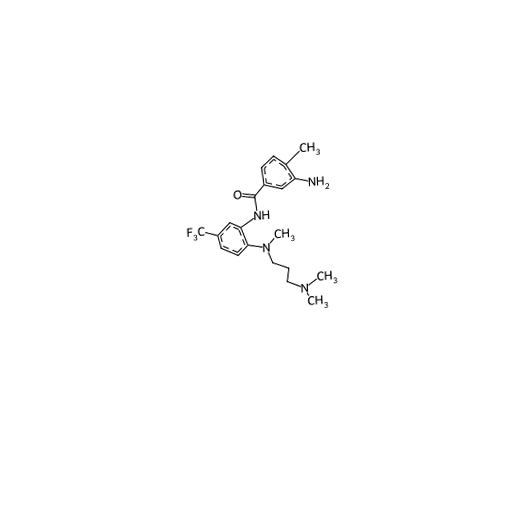 Cc1ccc(C(=O)Nc2cc(C(F)(F)F)ccc2N(C)CCCN(C)C)cc1N